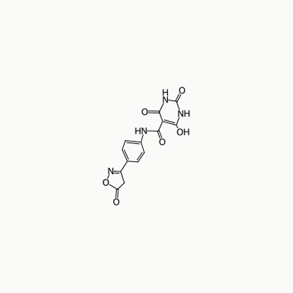 O=C1CC(c2ccc(NC(=O)c3c(O)[nH]c(=O)[nH]c3=O)cc2)=NO1